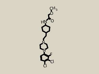 COCC(=O)NC1CCC(CCN2CCN(c3ccc(Cl)c(Cl)c3F)CC2)CC1